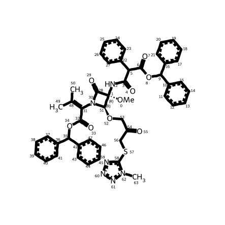 CO[C@@]1(NC(=O)C(C(=O)OC(c2ccccc2)c2ccccc2)c2ccccc2)C(=O)N(C(C(=O)OC(c2ccccc2)c2ccccc2)=C(C)C)[C@@H]1OCC(=O)CSc1nnnn1C